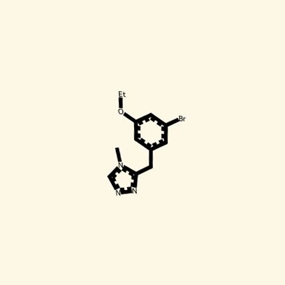 CCOc1cc(Br)cc(Cc2nncn2C)c1